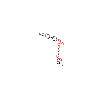 C=CC(=O)OCCCCCOC(=O)Oc1ccc(-c2ccc(C#N)cc2)cc1